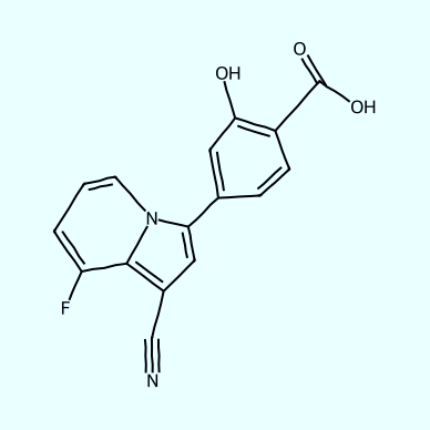 N#Cc1cc(-c2ccc(C(=O)O)c(O)c2)n2cccc(F)c12